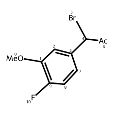 COc1cc(C(Br)C(C)=O)ccc1F